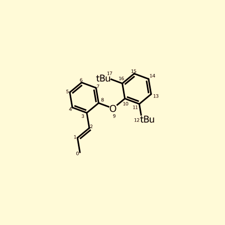 CC=Cc1ccccc1Oc1c(C(C)(C)C)cccc1C(C)(C)C